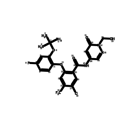 BC(B)(B)Oc1cc(F)ccc1Oc1cc(C(F)(F)F)c(Cl)cc1C(=O)Nc1cnn(CO)c(=O)c1